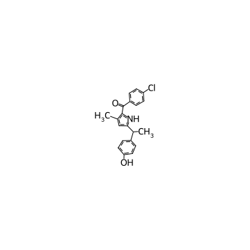 Cc1cc(C(C)c2ccc(O)cc2)[nH]c1C(=O)c1ccc(Cl)cc1